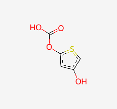 O=C(O)Oc1cc(O)cs1